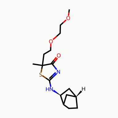 COCCOCCC1(C)SC(N[C@H]2C[C@@H]3CCC2C3)=NC1=O